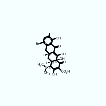 CN(C)[C@@H]1C(O)=C(C(=O)O)C(=O)[C@@]2(O)C(O)=C3C(=O)c4c(O)c(I)cc(Br)c4C[C@H]3C[C@@H]12